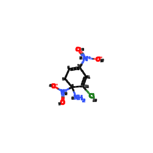 NC1([N+](=O)[O-])CC=C([N+](=O)[O-])C=C1Cl